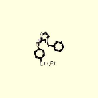 CCOC(=O)c1ccc(/N=c2/sccn2Cc2ccccc2)cc1